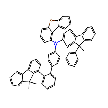 CC1(C)c2ccccc2-c2cccc(-c3ccccc3-c3ccc(N(c4ccc5c(c4)C(C)(c4ccccc4)c4ccccc4-5)c4cccc5sc6ccccc6c45)cc3)c21